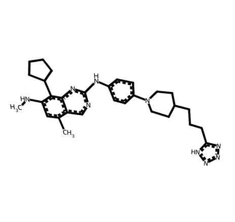 CNc1cc(C)c2cnc(Nc3ccc(N4CCC(CCCc5nnn[nH]5)CC4)cc3)nc2c1C1CCCC1